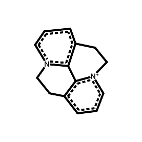 c1cc2c3[n+](c1)CCc1ccc[n+](c1-3)CC2